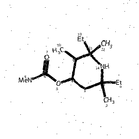 CCC1(C)CC(OC(=O)NC)C(C)C(C)(CC)N1